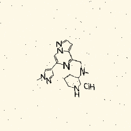 CN(Cc1nc(-c2cnn(C)c2)cn2nccc12)C1CCCNC1.Cl